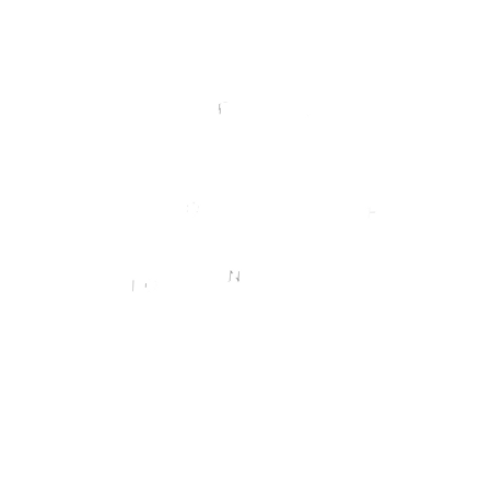 CC1(C)CCC(c2cc(F)ccc2F)N1C(=O)O